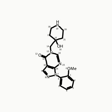 COc1ccccc1-n1ncc2c(=O)n(CC3(O)CCNCC3)cnc21